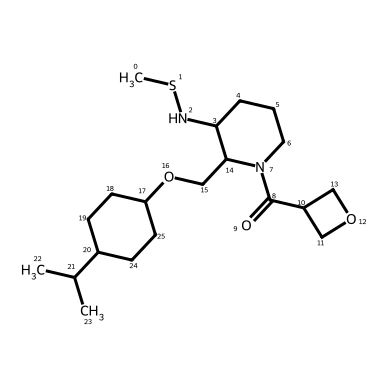 CSNC1CCCN(C(=O)C2COC2)C1COC1CCC(C(C)C)CC1